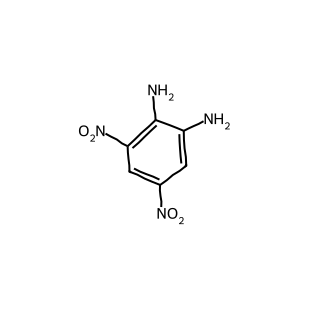 Nc1cc([N+](=O)[O-])cc([N+](=O)[O-])c1N